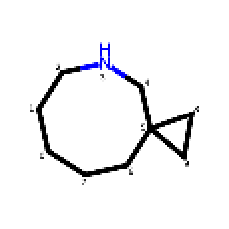 C1CCNCC2(CC1)CC2